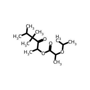 CC(C)OC(C)C(=O)OC(C)C(=O)C(C)(C)C(C)C